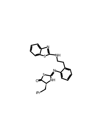 CC(C)C[C@@H]1N/C(=N\c2ccccc2CCNc2nc3ccccc3s2)SC1=O